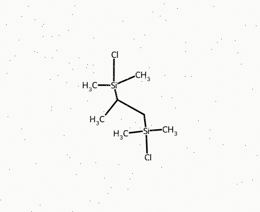 CC(C[Si](C)(C)Cl)[Si](C)(C)Cl